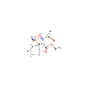 CCOC(=O)C(NC(C)=O)C1([SH](=N)=O)CCSCC1